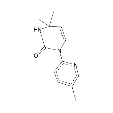 CC1(C)C=CN(c2ccc(I)cn2)C(=O)N1